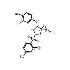 C[C@@H]1O[C@]12CN(S(=O)(=O)c1ccc(C(F)(F)F)cc1C#N)C[C@@H]2Oc1ccc(C#N)c(F)c1